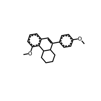 COc1ccc(C2=Cc3cccc(OC)c3C3CCCCC23)cc1